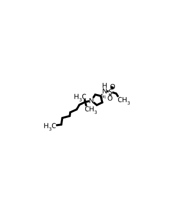 CCCCCCCC(C)(C)N1CC[C@@H](NS(=O)(=O)CC)C1